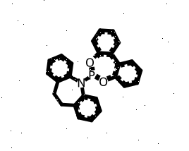 c1ccc2c(c1)CCc1ccccc1N2p1oc2ccccc2c2ccccc2o1